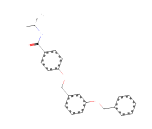 C[C@@H](C#N)NC(=O)c1ccc(OCc2cccc(OCc3ccccc3)c2)cc1